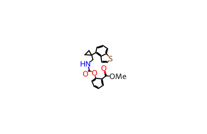 COC(=O)c1ccccc1OC(=O)NCC1(c2cccc3sccc23)CC1